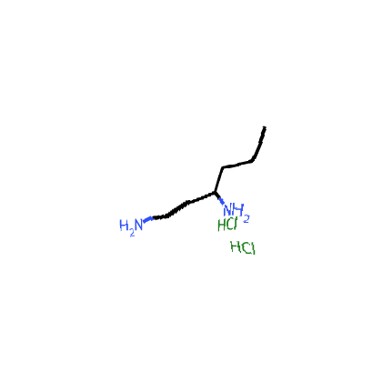 CCCC(N)CCN.Cl.Cl